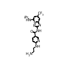 CC(C)Nc1cc(C(F)(F)F)cc2nc(NC(=O)c3ccc(NCCN)nc3)nn12